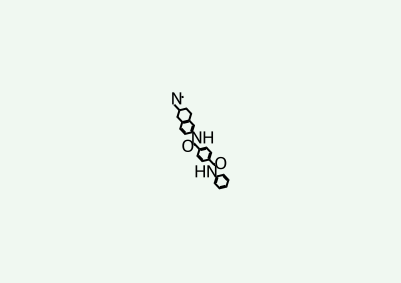 CN(C)CC1CCc2cc(NC(=O)c3ccc(C(=O)Nc4ccccc4)cc3)ccc2C1